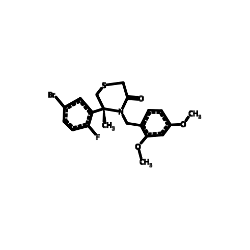 COc1ccc(CN2C(=O)CSC[C@@]2(C)c2cc(Br)ccc2F)c(OC)c1